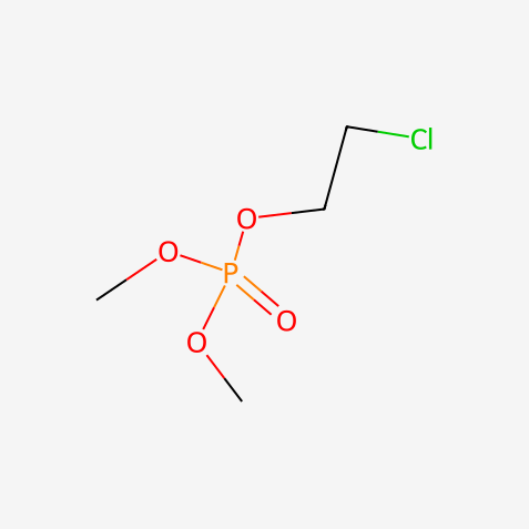 COP(=O)(OC)OCCCl